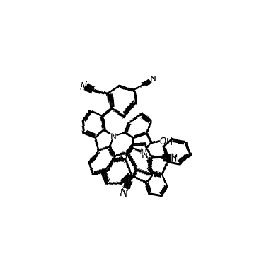 N#Cc1ccc(-c2cccc3c4cccc(-c5ccc(C#N)cc5C#N)c4n(-c4cccc5c4C(=O)N(c4c(-c6ccccc6)cccc4-c4ccccc4)C5O)c23)c(C#N)c1